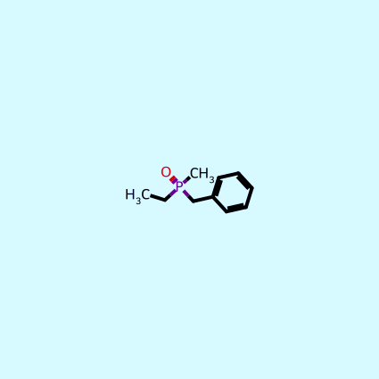 CCP(C)(=O)Cc1ccccc1